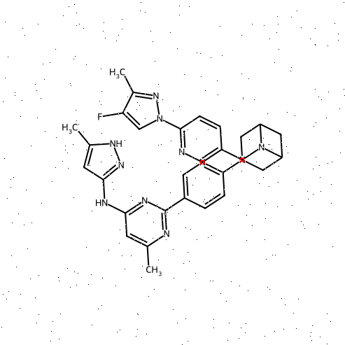 Cc1cc(Nc2cc(C)[nH]n2)nc(-c2ccc(N3CC4CC(C3)N4Cc3ccc(-n4cc(F)c(C)n4)nc3)nc2)n1